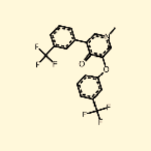 Cn1cc(Oc2cccc(C(F)(F)F)c2)c(=O)c(-c2cccc(C(F)(F)F)c2)c1